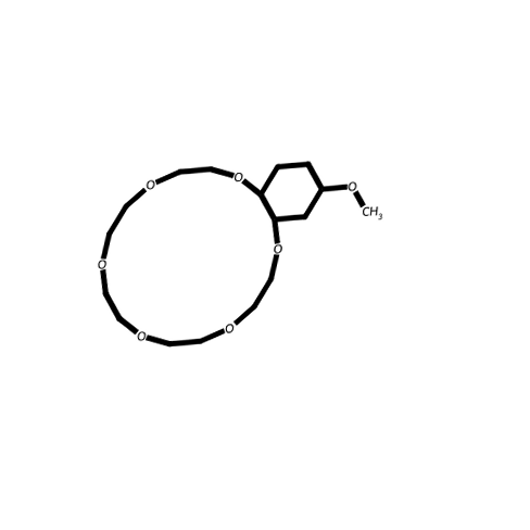 COC1CCC2OCCOCCOCCOCCOCCOC2C1